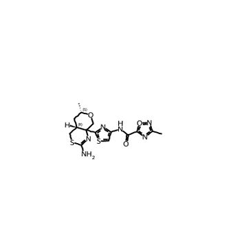 Cc1noc(C(=O)Nc2csc(C34CO[C@@H](C)C[C@H]3CSC(N)=N4)n2)n1